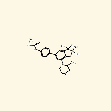 CNC(=O)Nc1ccc(-c2nc(N3CCOCC3C)c3c(n2)C(C)(C)S(O)(O)C3)cc1